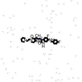 Cc1c(/C=C2\C(=O)Nc3cc(NCc4ccc(F)cc4)c(F)cc32)[nH]c2c1C(=O)N(CCN1CCCCC1)CC2